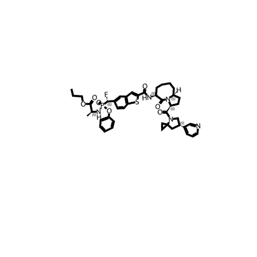 CCCOC(=O)[C@H](C)NP(=O)(Oc1ccccc1)[C@H](F)c1ccc2sc(C(=O)N[C@H]3CCCC[C@H]4CC[C@@H](C(=O)N5C[C@H](c6cccnc6)CC56CC6)N4C3=O)cc2c1